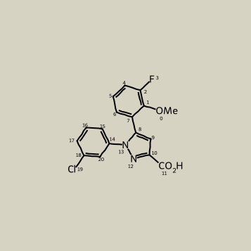 COc1c(F)cccc1-c1cc(C(=O)O)nn1-c1cccc(Cl)c1